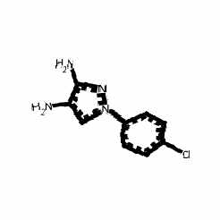 Nc1cn(-c2ccc(Cl)cc2)nc1N